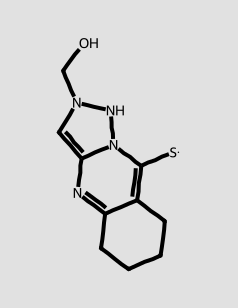 OCN1C=C2N=C3CCCCC3=C([S])N2N1